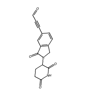 O=CC#Cc1ccc2c(c1)C(=O)N(C1CCC(=O)NC1=O)C2